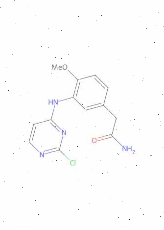 COc1ccc(CC(N)=O)cc1Nc1ccnc(Cl)n1